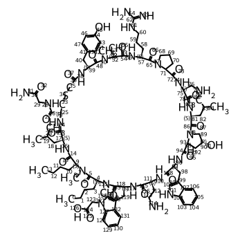 CCCC[C@H]1C(=O)N(C)[C@@H](CCCC)C(=O)N[C@@H](CC(C)C)C(=O)N[C@H](C(=O)NCC(N)=O)CSCC(=O)N[C@@H](Cc2ccc(O)cc2)C(=O)N(C)[C@@H](C)C(=O)N[C@@H](CCCNC(=N)N)C(=O)N2CCCC2C(=O)N[C@@H](CN)C(=O)N[C@@H](CC(C)C)C(=O)N2C[C@H](O)C[C@H]2C(=O)N[C@@H](Cc2c[nH]c3ccccc23)C(=O)N[C@@H](CCN)C(=O)N[C@@H](Cc2cn(CC(=O)O)c3ccccc23)C(=O)N1C